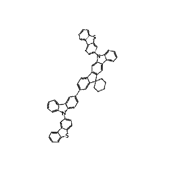 c1ccc2c(c1)sc1cc(-n3c4ccccc4c4cc5c(cc43)-c3ccc(-c4ccc6c(c4)c4ccccc4n6-c4ccc6sc7ccccc7c6c4)cc3C53CCCCC3)ccc12